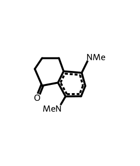 CNc1ccc(NC)c2c1CCCC2=O